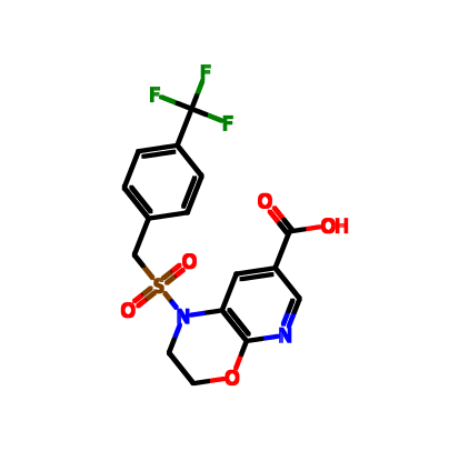 O=C(O)c1cnc2c(c1)N(S(=O)(=O)Cc1ccc(C(F)(F)F)cc1)CCO2